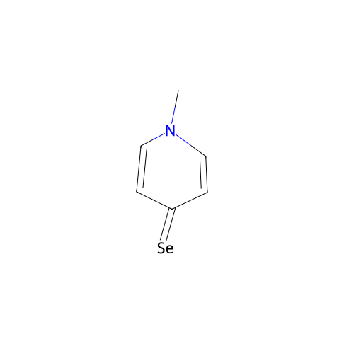 Cn1ccc(=[Se])cc1